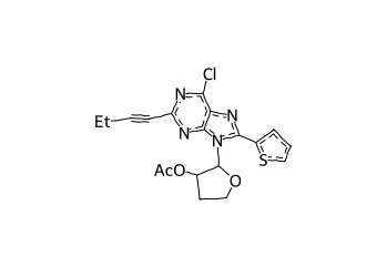 CCC#Cc1nc(Cl)c2nc(-c3cccs3)n(C3OCCC3OC(C)=O)c2n1